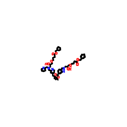 CC1(C)OB(c2ccc(CNCC(O)COCCCC(=O)OCc3ccccc3)cc2)OC1(C)Cc1ccnc(CN(Cc2ccccn2)CC(O)COCCCC(=O)OCc2ccccc2)c1